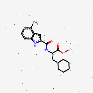 COC(=O)[C@H](CC1CCCCC1)NC(=O)c1cc2c(C)cccc2[nH]1